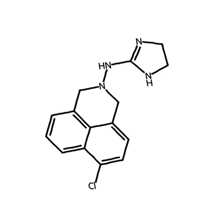 Clc1ccc2c3c(cccc13)CN(NC1=NCCN1)C2